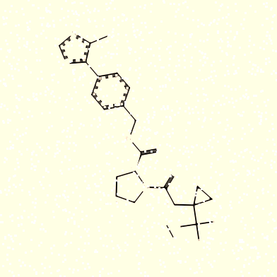 CS[C@H](C(=O)N1C[C@H](O)C[C@H]1C(=O)NCc1ccc(-c2scnc2C)cc1)C1(C(F)(F)F)CC1